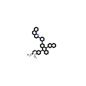 C=C/C=C\c1cc(-c2c3ccccc3c(-c3ccc4ccccc4c3)c3cc(-c4cccc(-c5ccc6ccc7ccccc7c6n5)c4)ccc23)ccc1C